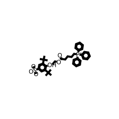 CC(C)(C)c1cc(S(=O)(=O)[O-])cc(C(C)(C)C)c1O.CCOC(=O)CCCC[P+](c1ccccc1)(c1ccccc1)c1ccccc1